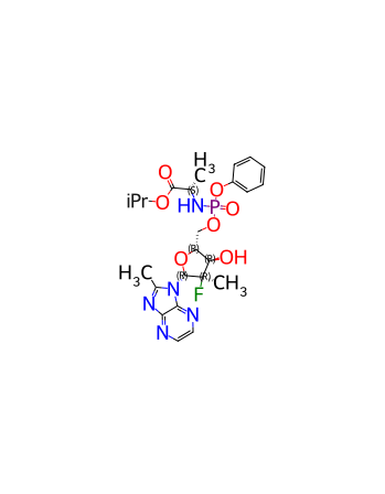 Cc1nc2nccnc2n1[C@@H]1O[C@H](COP(=O)(N[C@@H](C)C(=O)OC(C)C)Oc2ccccc2)[C@@H](O)[C@@]1(C)F